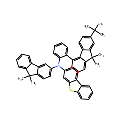 CC(C)(C)c1ccc2c(c1)C(C)(C)c1cccc(-c3ccccc3N(c3ccc4c(c3)-c3ccccc3C4(C)C)c3ccc4c(c3)sc3ccccc34)c1-2